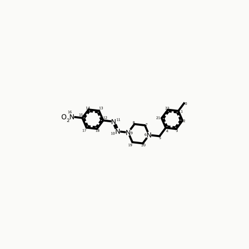 Cc1ccc(CN2CCN(N=Nc3ccc([N+](=O)[O-])cc3)CC2)cc1